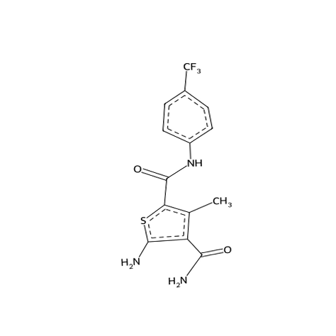 Cc1c(C(=O)Nc2ccc(C(F)(F)F)cc2)sc(N)c1C(N)=O